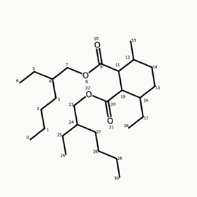 CCCCC(CC)COC(=O)C1C(C)CCC(CC)C1C(=O)OCC(CC)CCCC